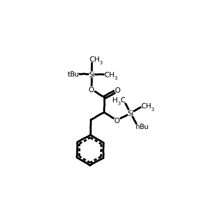 CCCC[Si](C)(C)OC(Cc1ccccc1)C(=O)O[Si](C)(C)C(C)(C)C